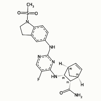 CS(=O)(=O)N1CCc2cc(Nc3ncc(F)c(N[C@H]4[C@@H](C(N)=O)[C@@H]5C=C[C@H]4C5)n3)ccc21